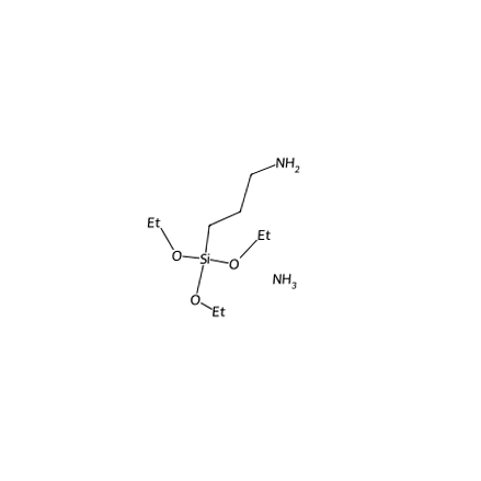 CCO[Si](CCCN)(OCC)OCC.N